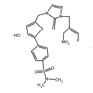 CN(C)S(=O)(=O)c1ccc(-c2ccc(Cn3cnn(C/C(=C/F)CN)c3=O)s2)cc1.Cl